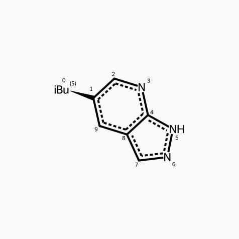 CC[C@H](C)c1cnc2[nH]ncc2c1